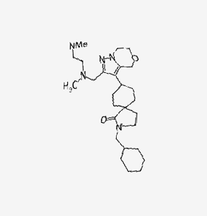 CNCCN(C)Cc1nn2c(c1C1CCC3(CC1)CCN(CC1CCCCC1)C3=O)COCC2